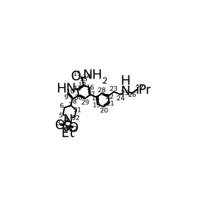 CCS(=O)(=O)N1CCC(c2c[nH]c3c(C(N)=O)cc(-c4cccc(CCNCC(C)C)c4)cc23)CC1